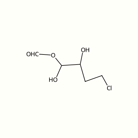 O=COC(O)C(O)CCCl